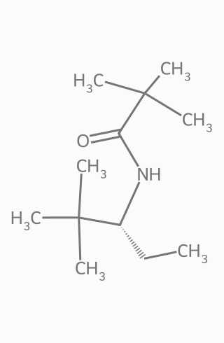 CC[C@@H](NC(=O)C(C)(C)C)C(C)(C)C